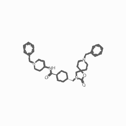 O=C1OC2(CCN(Cc3ccccc3)CC2)CN1C[C@H]1CC[C@H](C(=O)NC2CCN(Cc3ccccc3)CC2)CC1